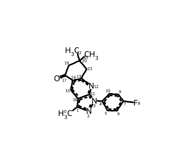 Cc1nn(-c2ccc(F)cc2)c2nc3c(cc12)C(=O)CC(C)(C)C3